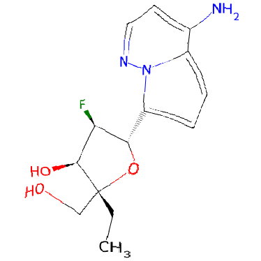 CC[C@]1(CO)O[C@@H](c2ccc3c(N)ccnn23)[C@H](F)[C@@H]1O